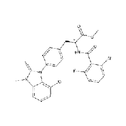 COC(=O)[C@H](Cc1ccc(-n2c(=S)n(C)c3cccc(Cl)c32)cc1)NC(=O)c1c(F)cccc1Cl